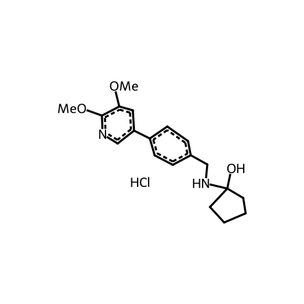 COc1cc(-c2ccc(CNC3(O)CCCC3)cc2)cnc1OC.Cl